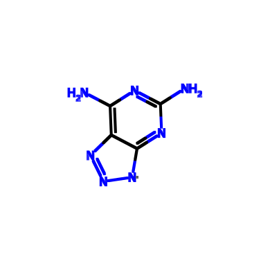 Nc1nc(N)c2c(n1)[N]N=N2